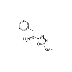 CSc1nnc([C@@H](N)Cc2ccccc2)o1